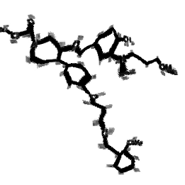 COCCCN(C(C)=O)c1cc(COC2CN(C(=O)OC(C)(C)C)CCC2c2ccc(OCCCOCc3ccccc3OC)cc2)ccc1C